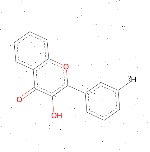 [2H]c1cccc(-c2oc3ccccc3c(=O)c2O)c1